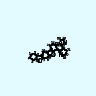 c1ccc2c(c1)oc1cc3oc4c(ccc5c4c4ncccc4c4nccn54)c3cc12